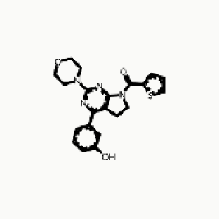 O=C(c1cccs1)N1CCc2c(-c3cccc(O)c3)nc(N3CCOCC3)nc21